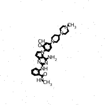 CNC(=O)c1ccccc1Nc1nc(N)c2c(ccn2-c2ccc(N3CCC(N4CCN(C)CC4)CC3)cc2OC)n1